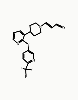 O=CC=CN1CCC(c2cccnc2Oc2ccc(C(F)(F)F)nc2)CC1